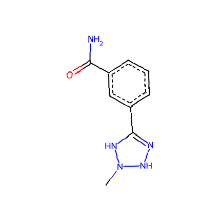 CN1NN=C(c2cccc(C(N)=O)c2)N1